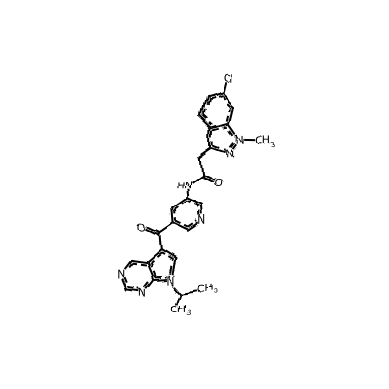 CC(C)n1cc(C(=O)c2cncc(NC(=O)Cc3nn(C)c4cc(Cl)ccc34)c2)c2cncnc21